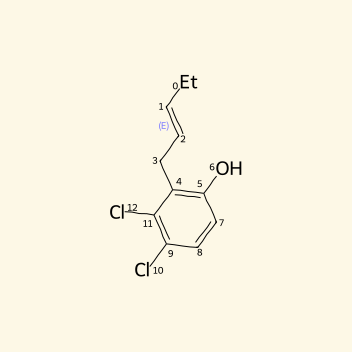 CC/C=C/Cc1c(O)ccc(Cl)c1Cl